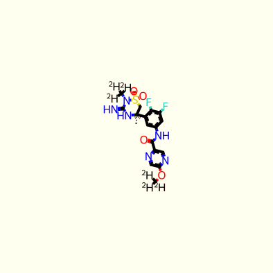 [2H]C([2H])([2H])Oc1cnc(C(=O)Nc2cc(F)c(F)c([C@]3(C)CS(=O)(=O)N(C([2H])([2H])[2H])C(=N)N3)c2)cn1